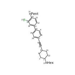 CCCCCCC1CCC(C#Cc2ccc(-c3ccc(CCCCC)c(F)c3)cc2)CC1